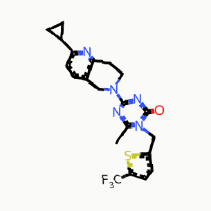 Cc1nc(N2CCc3nc(C4CC4)ccc3C2)nc(=O)n1Cc1ccc(C(F)(F)F)s1